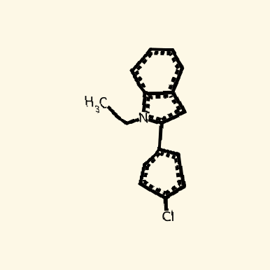 CCn1c(-c2ccc(Cl)cc2)cc2ccccc21